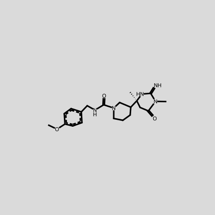 COc1ccc(CNC(=O)N2CCCC([C@]3(C)CC(=O)N(C)C(=N)N3)C2)cc1